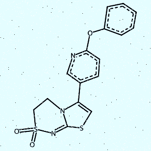 O=S1(=O)CCN2C(c3ccc(Oc4ccccc4)nc3)=CSC2=N1